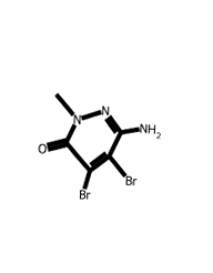 Cn1nc(N)c(Br)c(Br)c1=O